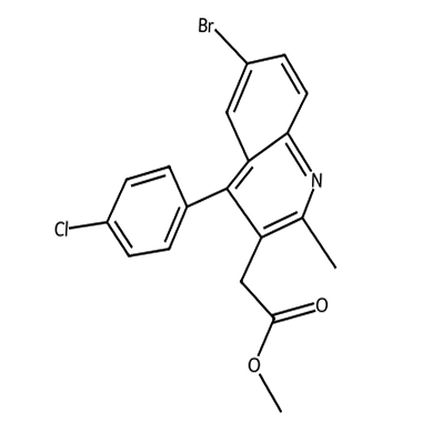 COC(=O)Cc1c(C)nc2ccc(Br)cc2c1-c1ccc(Cl)cc1